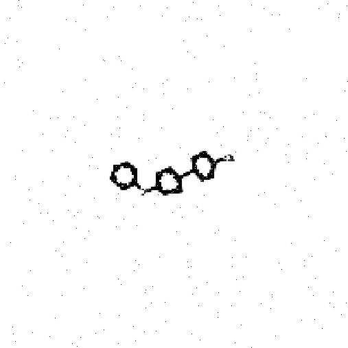 CC(C)(C)c1ccc(-c2ccc(Oc3ccccc3)cc2)cc1